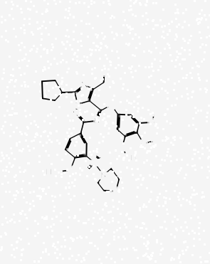 CCc1nc(C2CCCC2)n2nc(-c3ccc(OC)c(S(=O)(=O)N4CCOCC4)c3)nc(Oc3cc(OC)c(OC)c(OC)c3)c12